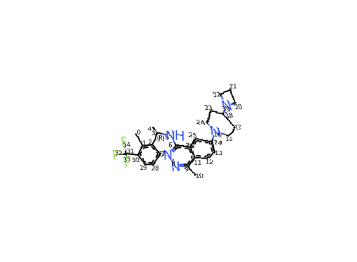 Cc1c([C@@H](C)Nc2nnc(C)c3ccc(N4CCC(N5CCC5)CC4)cc23)cccc1C(F)(F)F